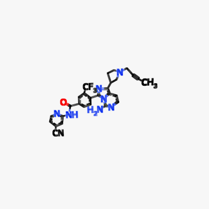 CC#CCN1CCC(c2nc(-c3ccc(C(=O)Nc4cc(C#N)ccn4)cc3C(F)(F)F)n3c(N)nccc23)C1